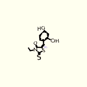 CCN1C(=O)/C(=C\c2ccc(O)cc2O)SC1=S